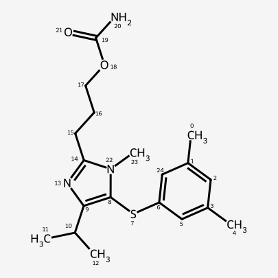 Cc1cc(C)cc(Sc2c(C(C)C)nc(CCCOC(N)=O)n2C)c1